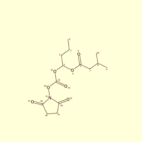 CCCC(OC(=O)CC(C)C)OC(=O)ON1C(=O)CCC1=O